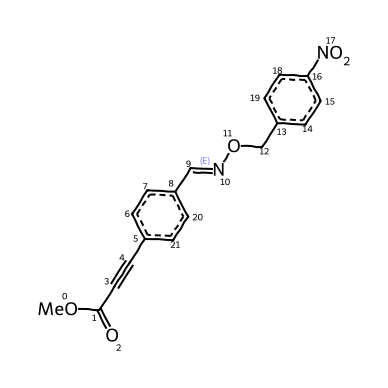 COC(=O)C#Cc1ccc(/C=N/OCc2ccc([N+](=O)[O-])cc2)cc1